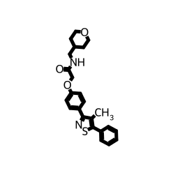 Cc1c(-c2ccc(OCC(=O)NCC3CCOCC3)cc2)nsc1-c1ccccc1